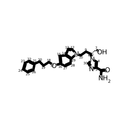 NC(=O)c1cn([C@@H](CO)CCn2ccc3cc(OCCCc4ccccc4)ccc32)cn1